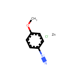 COc1ccc([N+]#N)cc1.[Cl-].[Zn]